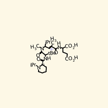 C/C(=C\C(C(C)C)N(C)C(=O)C(NC(=O)[C@H]1CCCCN1C(C)C)C(C)(C)C)C(=O)NC(CCC(=O)O)C(=O)O